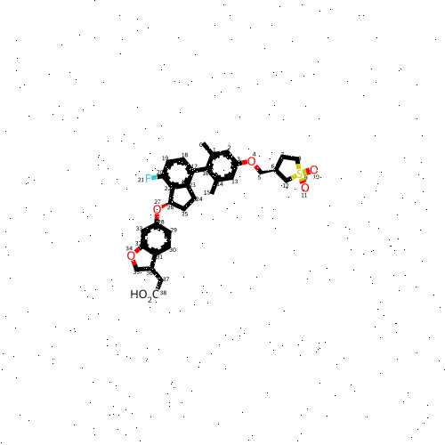 Cc1cc(OC[C@H]2CCS(=O)(=O)C2)cc(C)c1-c1ccc(F)c2c1CC[C@H]2Oc1ccc2c(c1)OCC2CC(=O)O